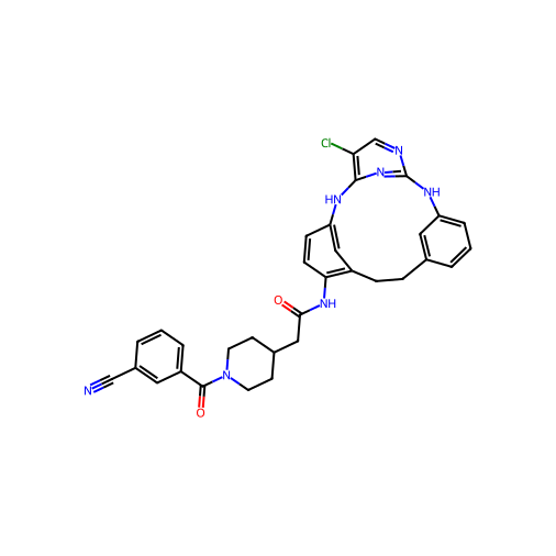 N#Cc1cccc(C(=O)N2CCC(CC(=O)Nc3ccc4cc3CCc3cccc(c3)Nc3ncc(Cl)c(n3)N4)CC2)c1